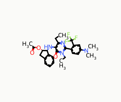 CCc1nc(-c2ccc(N(C)C)cc2C(F)(F)F)n(CC)c(=O)c1N[C@H]1c2ccccc2C[C@@H]1OC(C)=O